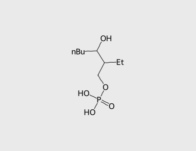 CCCCC(O)C(CC)COP(=O)(O)O